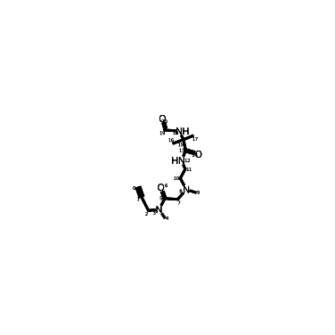 C#CCN(C)C(=O)CN(C)CCNC(=O)C(C)(C)NC=O